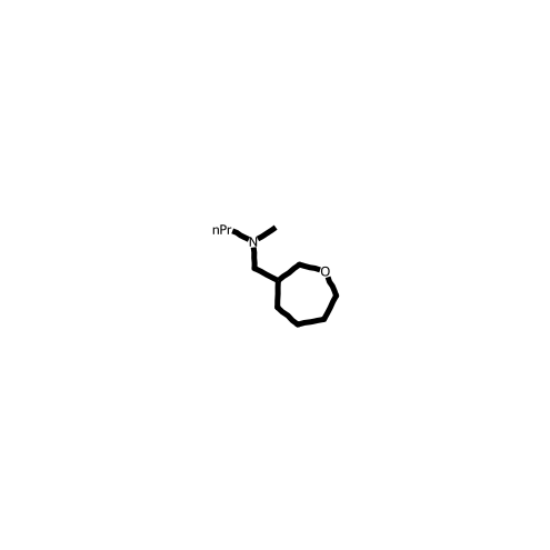 CCCN(C)CC1CCCCOC1